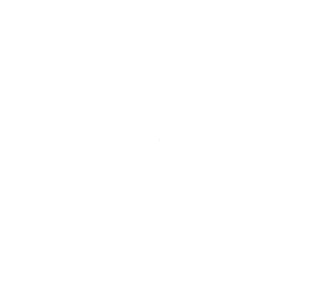 O[SiH](c1cccc2ccccc12)c1cccc2ccccc12